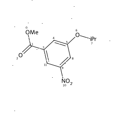 COC(=O)c1cc(OC(C)C)cc([N+](=O)[O-])c1